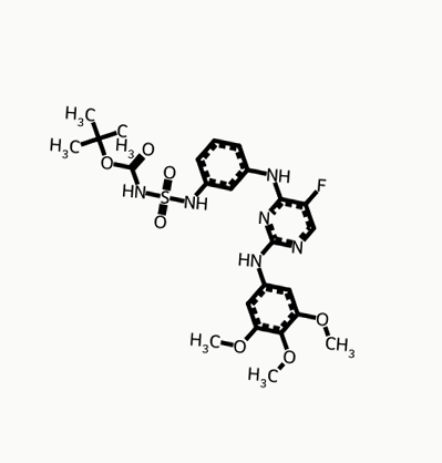 COc1cc(Nc2ncc(F)c(Nc3cccc(NS(=O)(=O)NC(=O)OC(C)(C)C)c3)n2)cc(OC)c1OC